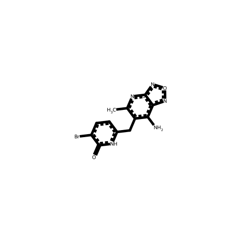 Cc1nc2nonc2c(N)c1Cc1ccc(Br)c(=O)[nH]1